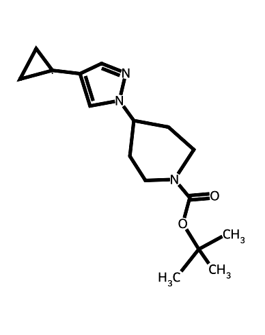 CC(C)(C)OC(=O)N1CCC(n2cc([C]3CC3)cn2)CC1